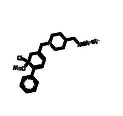 COC1(Cl)CC(CN2CCC(CN=[N+]=[N-])CC2)=CC=C1c1ccccc1